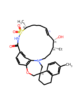 CC[C@@H]1CCN2C[C@@]3(CCCc4cc(C)ccc43)COc3ccc(cc32)C(=O)NS(=O)(=O)[C@H](C)CC/C=C/[C@@H]1O